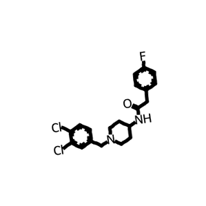 O=C(Cc1ccc(F)cc1)NC1CCN(Cc2ccc(Cl)c(Cl)c2)CC1